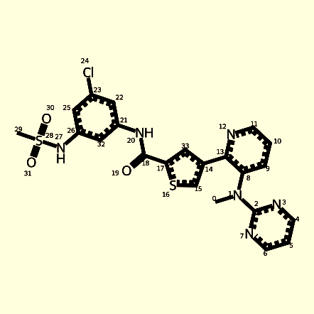 CN(c1ncccn1)c1cccnc1-c1csc(C(=O)Nc2cc(Cl)cc(NS(C)(=O)=O)c2)c1